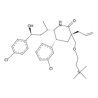 C=CC[C@@]1(COCC[Si](C)(C)C)C[C@H](c2cccc(Cl)c2)[C@H](C(C)C[C@H](O)c2ccc(Cl)cc2)NC1=O